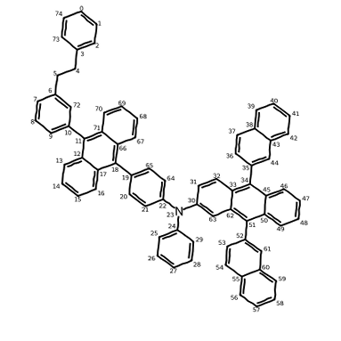 c1ccc(CCc2cccc(-c3c4ccccc4c(-c4ccc(N(c5ccccc5)c5ccc6c(-c7ccc8ccccc8c7)c7ccccc7c(-c7ccc8ccccc8c7)c6c5)cc4)c4ccccc34)c2)cc1